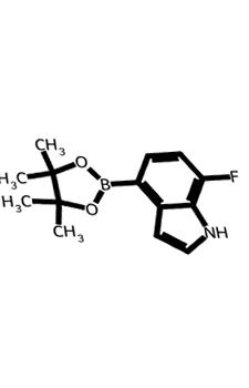 CC1(C)OB(c2ccc(F)c3[nH]ccc23)OC1(C)C